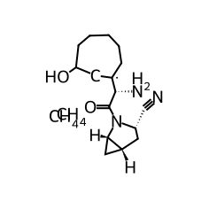 C.C.N#C[C@@H]1C[C@@H]2C[C@@H]2N1C(=O)[C@@H](N)[C]1CCCCCC(O)C1